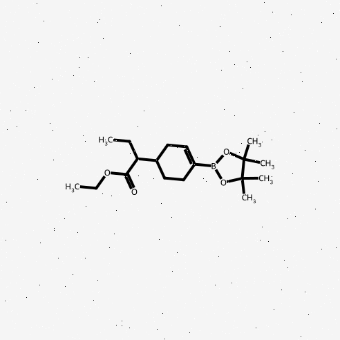 CCOC(=O)C(CC)C1CC=C(B2OC(C)(C)C(C)(C)O2)CC1